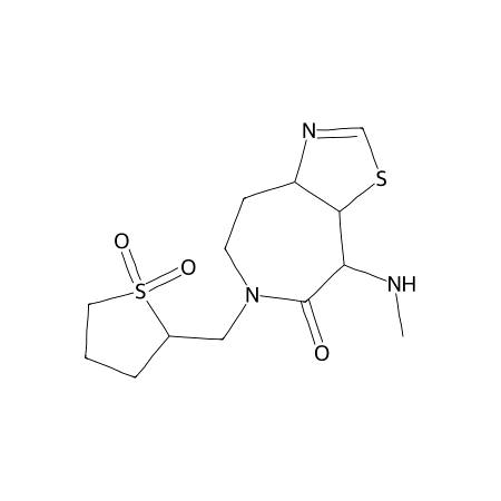 CNC1C(=O)N(CC2CCCS2(=O)=O)CCC2N=CSC21